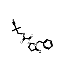 CC(C)(C#N)CNC(=O)C(=O)[C@H]1CCC(=O)N1Cc1ccccc1